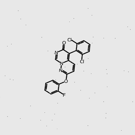 O=c1ncn2nc(Oc3ccccc3F)ccc2c1-c1c(Cl)cccc1Cl